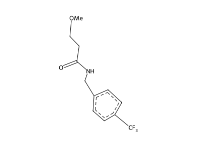 COCCC(=O)NCc1ccc(C(F)(F)F)cc1